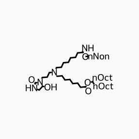 CCCCCCCCCOC(=N)CCCCCCCN(CCCCCCCC(=O)OC(CCCCCCCC)CCCCCCCC)CCCN1C(=O)NCC1O